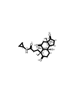 C[C@]1(CCC(=O)NC2CC2)C(=O)CC[C@@H]2[C@@H]1C(=O)C[C@]1(C)C(=O)CC[C@@H]21